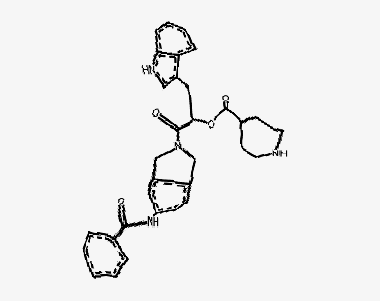 O=C(Nc1ccc2c(c1)CN(C(=O)C(Cc1c[nH]c3ccccc13)OC(=O)C1CCNCC1)C2)c1ccccc1